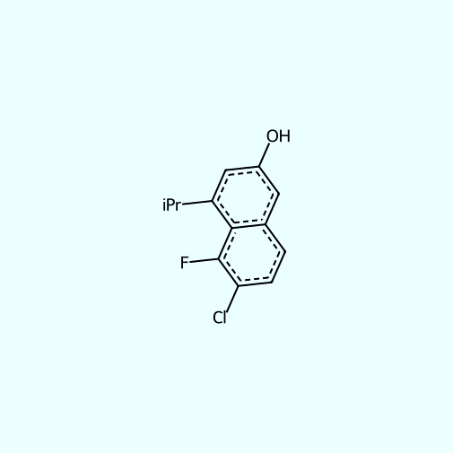 CC(C)c1cc(O)cc2ccc(Cl)c(F)c12